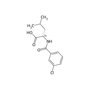 CC(C)C[C@H](NC(=O)c1cccc(Cl)c1)C(=O)O